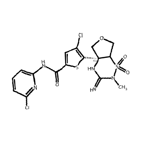 CN1C(=N)N[C@@]2(c3sc(C(=O)Nc4cccc(Cl)n4)cc3Cl)COCC2S1(=O)=O